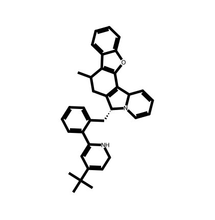 CC1CC2=C(c3oc4ccccc4c31)C1C=CC=CN1[C@@H]2Cc1ccccc1C1=CC(C(C)(C)C)=CCN1